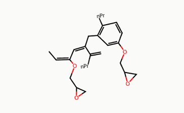 C=C(CCC)/C(=C\C(=C/C)OCC1CO1)Cc1cc(OCC2CO2)ccc1CCC